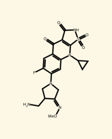 CON=C1CN(c2cc3c(cc2F)c(=O)c2c(n3C3CC3)S(=O)(=O)NC2=O)CC1CN